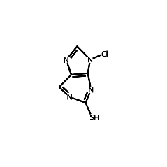 Sc1ncc2ncn(Cl)c2n1